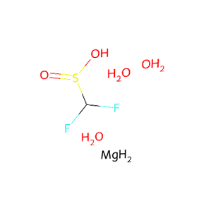 O.O.O.O=S(O)C(F)F.[MgH2]